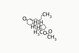 CCCC1CC2=CC(=O)CC[C@@H]2[C@H]2CC[C@]3(C)[C@@H](OC(C)=O)CC[C@H]3[C@H]12